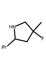 CC(C)C1CC(C)(F)CN1